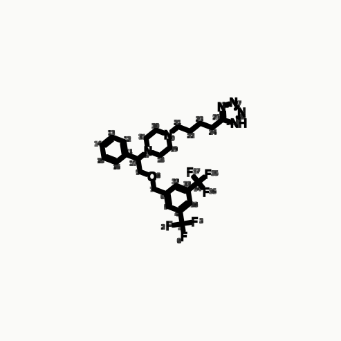 FC(F)(F)c1cc(COCC(c2ccccc2)N2CCN(CCCCc3nnn[nH]3)CC2)cc(C(F)(F)F)c1